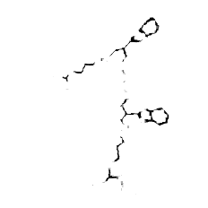 COC(C)OCCCO[SiH2]CC(CSSSSCC(C[SiH2]OCCCOC(C)OC)c1nc2ccccc2s1)c1nc2ccccc2s1